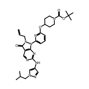 C=CCn1c(=O)c2cnc(Nc3cnn(CC(C)C)c3)nc2n1-c1cccc(OC2CCN(C(=O)OC(C)(C)C)CC2)n1